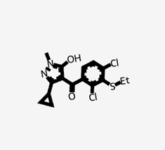 CCSc1c(Cl)ccc(C(=O)c2c(C3CC3)nn(C)c2O)c1Cl